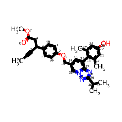 CC#CC(CC(=O)OC)c1ccc(OCc2cc(-c3c(C)cc(O)cc3C)c3nc(C(C)C)nn3c2)cc1